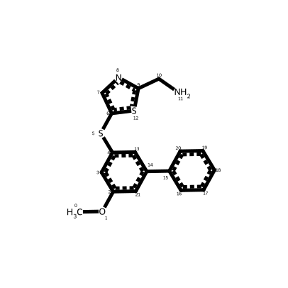 COc1cc(Sc2cnc(CN)s2)cc(-c2ccccc2)c1